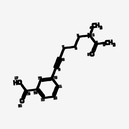 CC(=O)N(C)CCCC#Cc1cccc(C(=O)O)c1